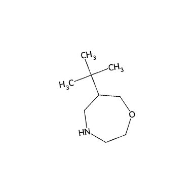 CC(C)(C)C1CNCCOC1